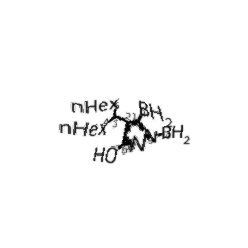 Bc1c(C(CCCCCC)CCCCCC)c(O)nn1B